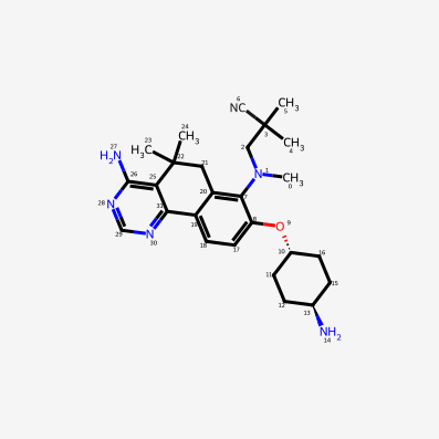 CN(CC(C)(C)C#N)c1c(O[C@H]2CC[C@H](N)CC2)ccc2c1CC(C)(C)c1c(N)ncnc1-2